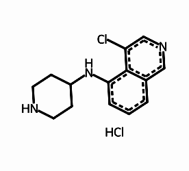 Cl.Clc1cncc2cccc(NC3CCNCC3)c12